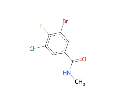 CNC(=O)c1cc(Cl)c(F)c(Br)c1